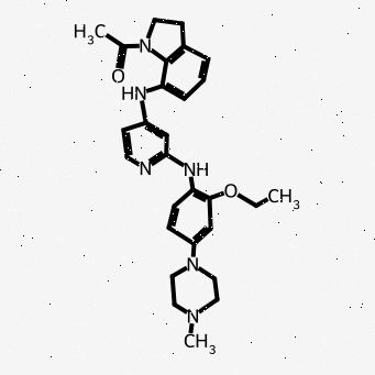 CCOc1cc(N2CCN(C)CC2)ccc1Nc1cc(Nc2cccc3c2N(C(C)=O)CC3)ccn1